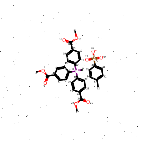 COC(=O)c1ccc([P+](C)(c2ccc(C(=O)OC)cc2)c2ccc(C(=O)OC)cc2)cc1.Cc1ccc(S(=O)(=O)[O-])cc1